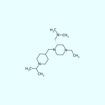 CCN1CCN(CC2CCN(C(C)C)CC2)[C@H](CN(C)C)C1